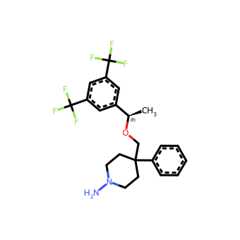 C[C@@H](OCC1(c2ccccc2)CCN(N)CC1)c1cc(C(F)(F)F)cc(C(F)(F)F)c1